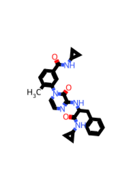 Cc1ccc(C(=O)NC2CC2)cc1-n1ccnc(NC(Cc2ccccc2)C(=O)NC2CC2)c1=O